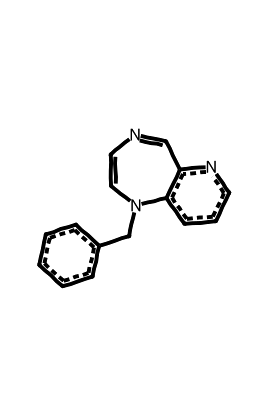 C1=CN(Cc2ccccc2)c2cccnc2C=N1